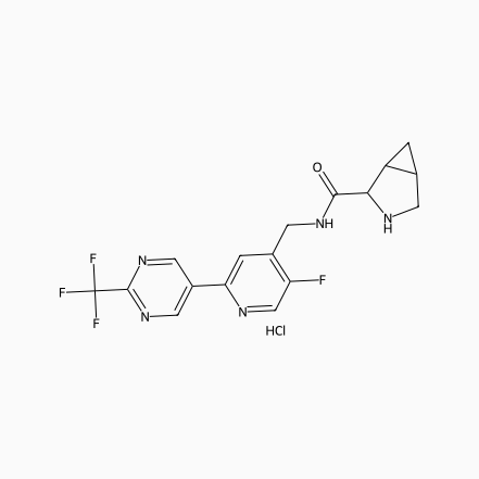 Cl.O=C(NCc1cc(-c2cnc(C(F)(F)F)nc2)ncc1F)C1NCC2CC21